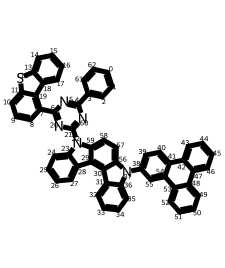 c1ccc(-c2nc(-c3cccc4sc5ccccc5c34)nc(-n3c4ccccc4c4c5c6ccccc6n(-c6ccc7c8ccccc8c8ccccc8c7c6)c5ccc43)n2)cc1